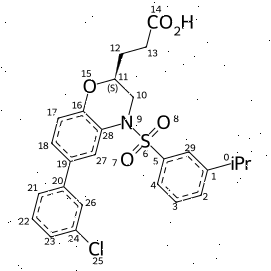 CC(C)c1cccc(S(=O)(=O)N2C[C@H](CCC(=O)O)Oc3ccc(-c4cccc(Cl)c4)cc32)c1